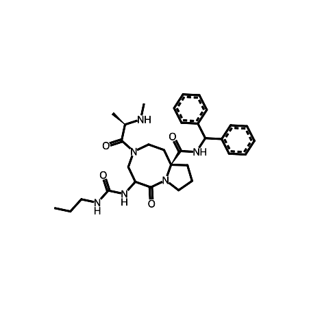 CCCNC(=O)NC1CN(C(=O)[C@@H](C)NC)CC[C@]2(C(=O)NC(c3ccccc3)c3ccccc3)CCCN2C1=O